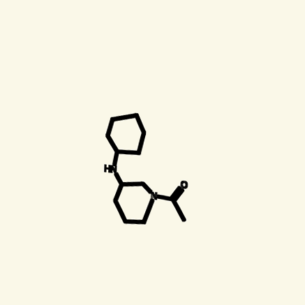 CC(=O)N1CCCC(NC2CCCCC2)C1